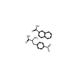 NC(Cc1ccc([N+](=O)[O-])cc1)C(=O)O.O=C(O)c1ccc2ccccc2c1